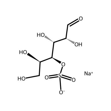 O=C[C@H](O)[C@@H](O)[C@@H](OS(=O)(=O)[O-])[C@H](O)CO.[Na+]